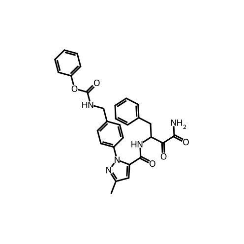 Cc1cc(C(=O)NC(Cc2ccccc2)C(=O)C(N)=O)n(-c2ccc(CNC(=O)Oc3ccccc3)cc2)n1